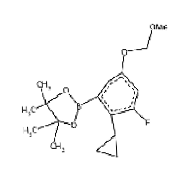 COCOc1cc(F)c(C2CC2)c(B2OC(C)(C)C(C)(C)O2)c1